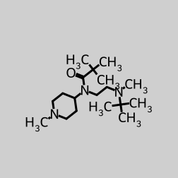 CN1CCC(N(CCN(C)C(C)(C)C)C(=O)C(C)(C)C)CC1